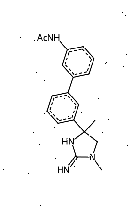 CC(=O)Nc1cccc(-c2cccc(C3(C)CN(C)C(=N)N3)c2)c1